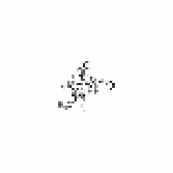 CC(C)CNS(=O)(=O)c1cc2c(c3cnc(C4CC4)cc13)C(Nc1nc3ccccc3[nH]1)CC2NC(=O)NC1CC1c1ccccc1